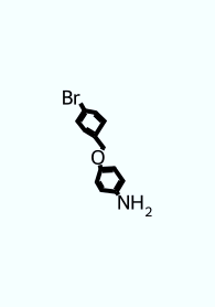 Nc1ccc(OCc2ccc(Br)cc2)cc1